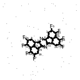 Fc1cc2c3nc4c5cc(F)c(F)c6c(F)c(F)cc(c4nc3c3cc(F)c(F)c(c1F)c23)c65